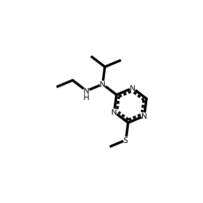 CCNN(c1ncnc(SC)n1)C(C)C